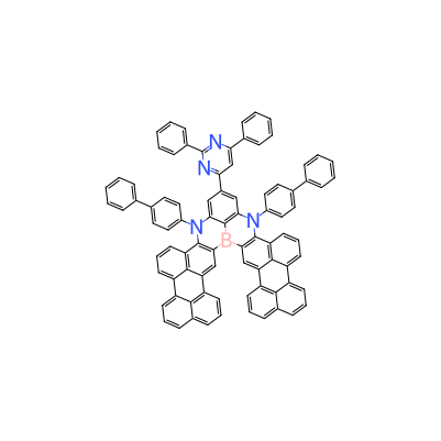 c1ccc(-c2ccc(N3c4cc(-c5cc(-c6ccccc6)nc(-c6ccccc6)n5)cc5c4B(c4cc6c7cccc8cccc(c9cccc(c43)c96)c87)c3cc4c6cccc7cccc(c8cccc(c3N5c3ccc(-c5ccccc5)cc3)c84)c76)cc2)cc1